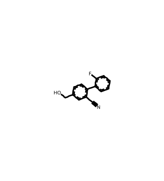 N#Cc1cc(CO)ccc1-c1ccccc1F